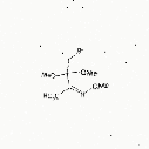 CON=C(C(=O)O)C(CBr)(OC)OC